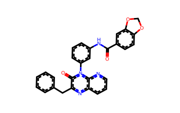 O=C(Nc1cccc(-n2c(=O)c(Cc3ccccc3)nc3cccnc32)c1)c1ccc2c(c1)OCO2